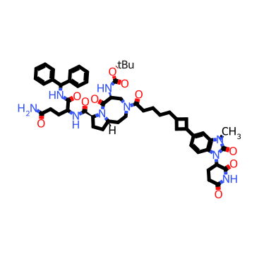 Cn1c(=O)n(C2CCC(=O)NC2=O)c2ccc(C3CC(CCCCC(=O)N4CC[C@H]5CC[C@@H](C(=O)NC(CCC(N)=O)C(=O)NC(c6ccccc6)c6ccccc6)N5C(=O)[C@@H](NC(=O)OC(C)(C)C)C4)C3)cc21